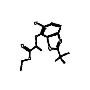 CCOC(=O)C(C)Sc1c(Cl)ccc2nc(C(C)(C)C)oc12